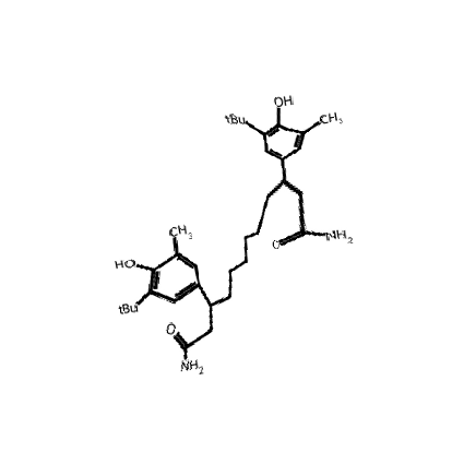 Cc1cc(C(CCCCCCC(CC(N)=O)c2cc(C)c(O)c(C(C)(C)C)c2)CC(N)=O)cc(C(C)(C)C)c1O